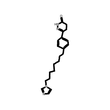 O=C1CCC(c2ccc(CCCCCCCCn3ccnc3)cc2)=NN1